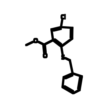 COC(=O)c1cc(Cl)ccc1SCc1ccccc1